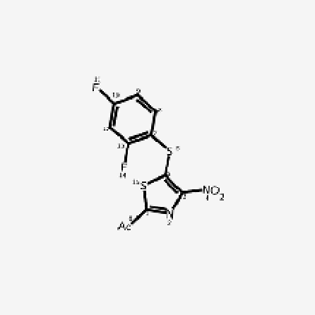 CC(=O)c1nc([N+](=O)[O-])c(Sc2ccc(F)cc2F)s1